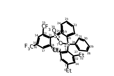 CCc1cc(CC)c(S(OS(=O)(=O)c2c(C(F)(F)F)cc(C(F)(F)F)cc2C(F)(F)F)(c2ccccc2)c2ccccc2)c(CC)c1